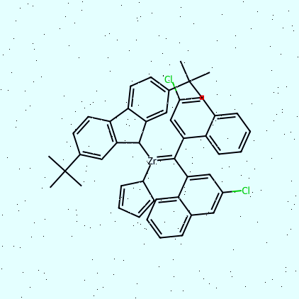 CC(C)(C)c1ccc2c(c1)[CH]([Zr](=[C](c1cc(Cl)cc3ccccc13)c1cc(Cl)cc3ccccc13)[CH]1C=CC=C1)c1cc(C(C)(C)C)ccc1-2